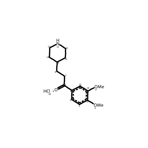 COc1ccc(C(=O)CCC2CCNCC2)cc1OC.Cl